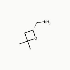 CC1(C)C[C@H](CN)O1